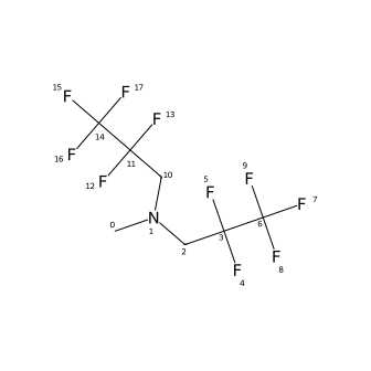 CN(CC(F)(F)C(F)(F)F)CC(F)(F)C(F)(F)F